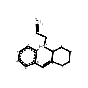 C=CCNC1CCCCC1=Cc1ccccc1